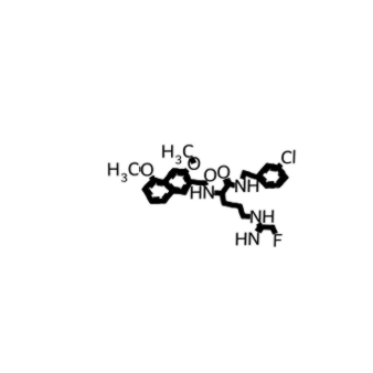 COc1cc2c(OC)cccc2cc1C(=O)NC(CCCNC(=N)CF)C(=O)NCc1cccc(Cl)c1